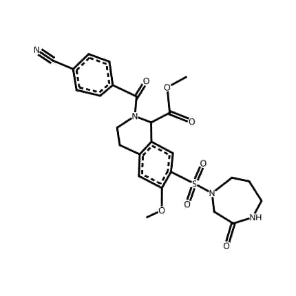 COC(=O)C1c2cc(S(=O)(=O)N3CCCNC(=O)C3)c(OC)cc2CCN1C(=O)c1ccc(C#N)cc1